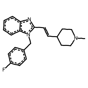 CN1CCC(C=Cc2nc3ccccc3n2Cc2ccc(F)cc2)CC1